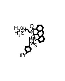 CC(C)c1ccc(NC(=S)Nc2cccc3cc4cccc5c4c(c23)C(=O)N(CCN(C)C)C5=O)cc1